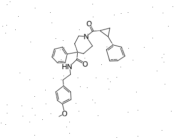 COc1ccc(CCNC(=O)C2(c3ccccc3)CCN(C(=O)C3CC3c3ccccc3)CC2)cc1